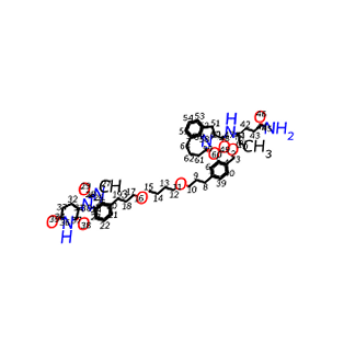 C[C@@H](OCc1ccc(CCCOCCCCOCCCc2cccc3c2n(C)c(=O)n3C2CCC(=O)NC2=O)cc1)[C@H](CCC(N)=O)NC(=O)[C@@H]1Cc2cccc3c2N1C(=O)CCC3